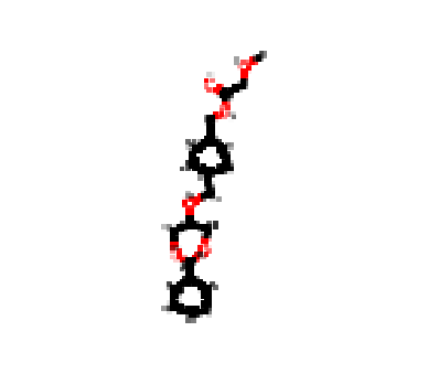 COCC(=O)OCc1ccc(COC2COC(c3ccccc3)OC2)cc1